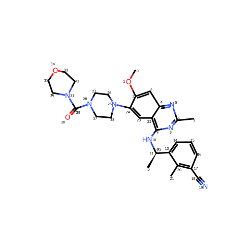 COc1cc2nc(C)nc(N[C@H](C)c3cccc(C#N)c3C)c2cc1N1CCN(C(=O)N2CCOCC2)CC1